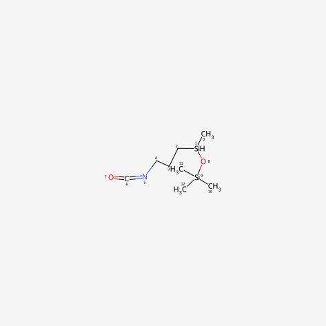 C[SiH](CCCN=C=O)O[Si](C)(C)C